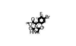 COC(=O)C(c1ccc(Br)c(F)c1)N1C(=O)CNC1=O